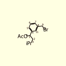 CC(=O)OC(CC(C)C)c1cccc(CBr)c1